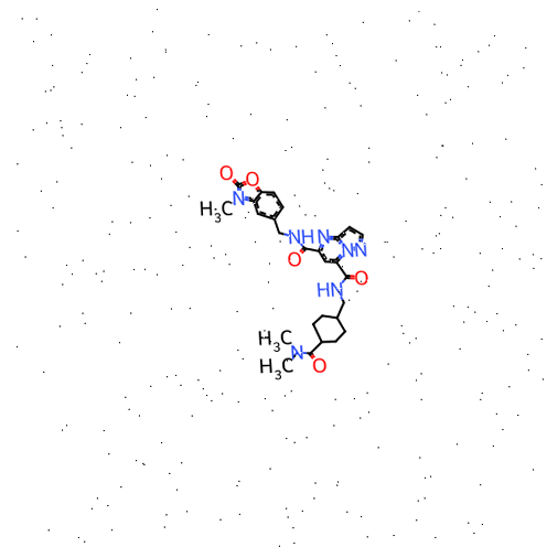 CN(C)C(=O)C1CCC(CNC(=O)c2cc(C(=O)NCc3ccc4oc(=O)n(C)c4c3)nc3ccnn23)CC1